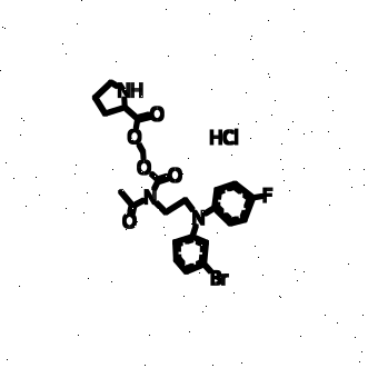 CC(=O)N(CCN(c1ccc(F)cc1)c1cccc(Br)c1)C(=O)OCOC(=O)C1CCCN1.Cl